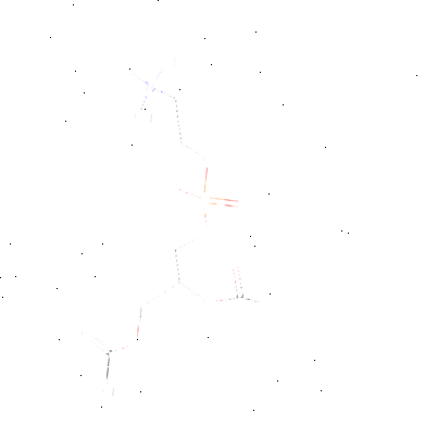 CC(=O)OCC(COP(=O)(O)OCC[N+](C)(C)C)OC(C)=O